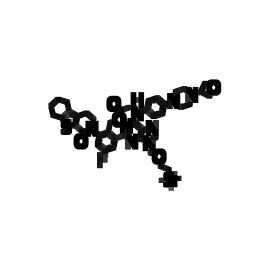 CC(=O)OCc1c(-c2nc(Nc3ccc(N4CCN(C5COC5)CC4)cc3)c3ncn(COCC[Si](C)(C)C)c3n2)cc(F)cc1N1CCc2c(sc3c2CCCC3)C1=O